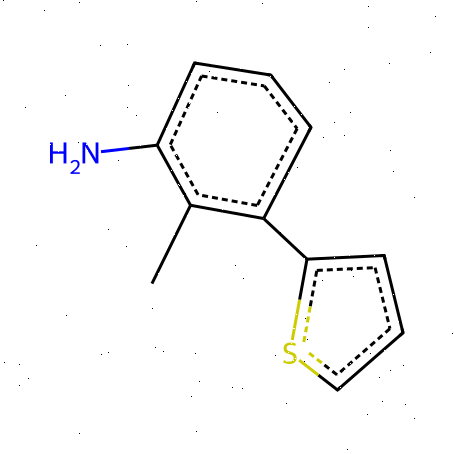 Cc1c(N)cccc1-c1cccs1